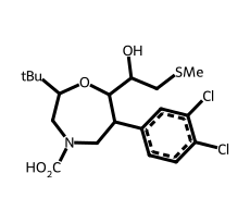 CSCC(O)C1OC(C(C)(C)C)CN(C(=O)O)CC1c1ccc(Cl)c(Cl)c1